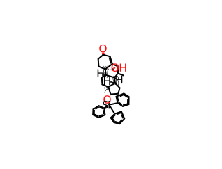 CC1CC2=CC(=O)CC[C@]2(CO)[C@@H]2CC[C@]3(C)C(O[Si](c4ccccc4)(c4ccccc4)c4ccccc4)CC[C@H]3[C@H]12